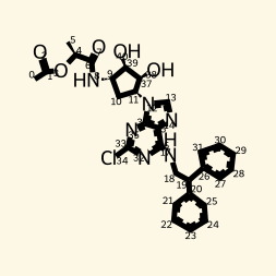 CC(=O)O[C@@H](C)C(=O)N[C@H]1C[C@@H](n2cnc3c(NCC(c4ccccc4)c4ccccc4)nc(Cl)nc32)[C@H](O)[C@@H]1O